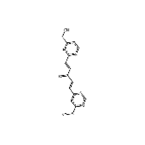 N#CSc1cc(/C=C/C(=O)/C=C/c2nccc(SC#N)n2)ncn1